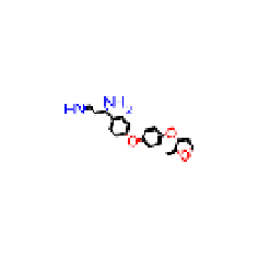 C=C1OCC[C@H]1Oc1ccc(Oc2ccc(/C(N)=C/C=N)cc2)cc1